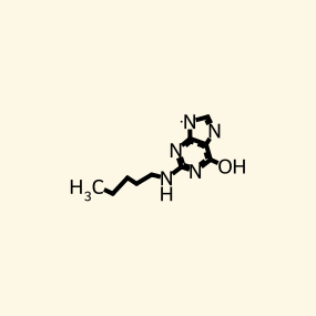 CCCCCNc1nc(O)c2c(n1)[N]C=N2